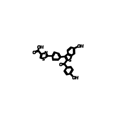 O=C(O)c1csc(-c2ccc(-c3c(C(=O)c4ccc(O)cc4)sc4cc(O)ccc34)cc2)n1